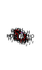 CC[C@H](C)[C@H](NC(=O)C(CO)NC(=O)[C@H](CCC(=O)O)NN)C(=O)NC(CC(C)C)C(=O)C(=O)[C@H](CCCNC(=N)N)N[C@]1(C)CCCCCC/C=C/CCC[C@@](C)(C(=O)N[C@@H](C)C=O)NC(=O)N[C@@H](CCCNC(=N)N)C(=O)C(=O)[C@H](CCC(N)=O)NC(=O)C(CCCCN)NC(=O)[C@H](CCC(=O)O)NC(=O)C(CCCNC(=N)N)NC(=O)[C@H](CC(=O)O)NC1=O